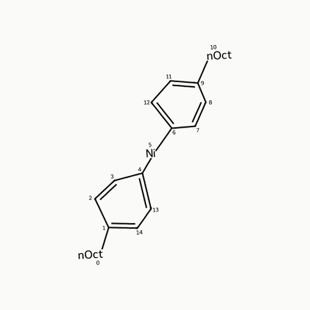 CCCCCCCCc1cc[c]([Ni][c]2ccc(CCCCCCCC)cc2)cc1